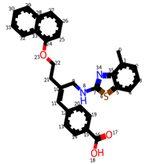 Cc1cccc2sc(NCC(=Cc3ccc(C(=O)O)cc3)CCOc3cccc4ccccc34)nc12